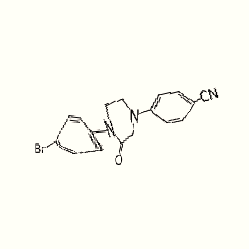 N#Cc1ccc(N2CCN(c3ccc(Br)cc3)C(=O)C2)cc1